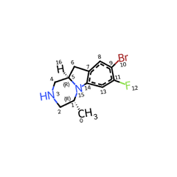 C[C@@H]1CNC[C@H]2Cc3cc(Br)c(F)cc3N21